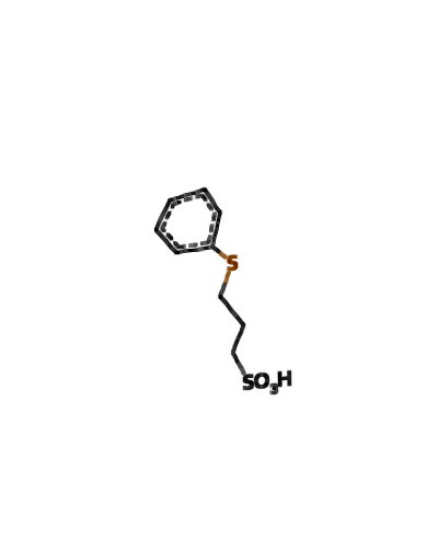 O=S(=O)(O)CCCSc1ccccc1